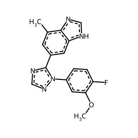 COc1cc(-n2ncnc2-c2cc(C)c3nc[nH]c3c2)ccc1F